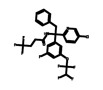 O=C(CCC(F)(F)F)NC(Cc1ccccc1)(c1cc(F)cc(OC(F)(F)C(F)F)c1)c1ccc(Cl)cn1